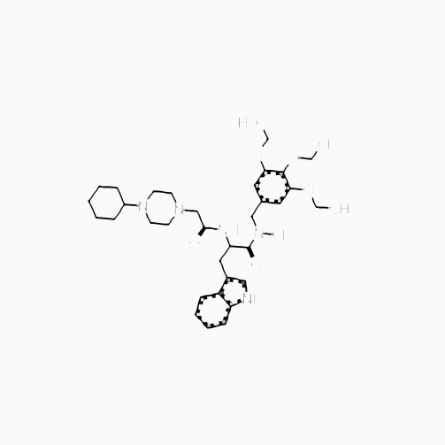 CCOc1cc(CN(C)C(=O)C(Cc2c[nH]c3ccccc23)NC(=O)CN2CCN(C3CCCCC3)CC2)cc(OCC)c1OCC